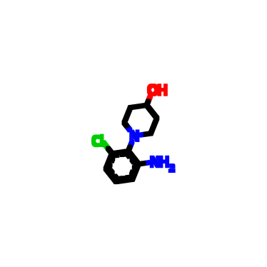 Nc1cccc(Cl)c1N1CCC(O)CC1